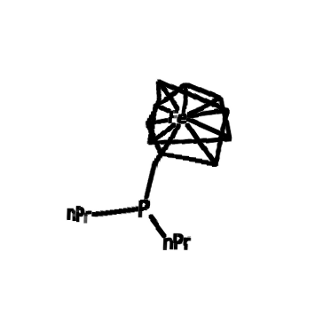 CCCP(CCC)[C]12[CH]3[CH]4[CH]5[CH]1[Fe]45321678[CH]2[CH]1[CH]6[CH]7[CH]28